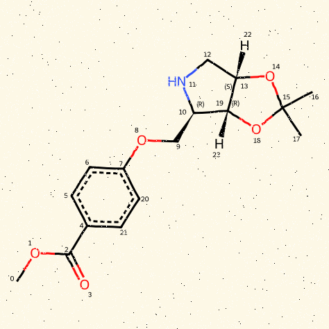 COC(=O)c1ccc(OC[C@H]2NC[C@@H]3OC(C)(C)O[C@@H]32)cc1